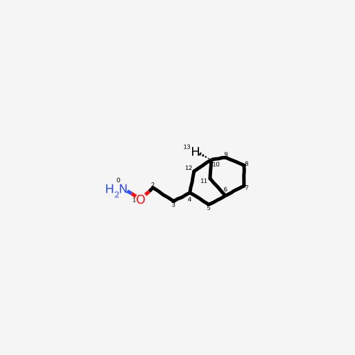 NOCCC1CC2CCC[C@@H](C2)C1